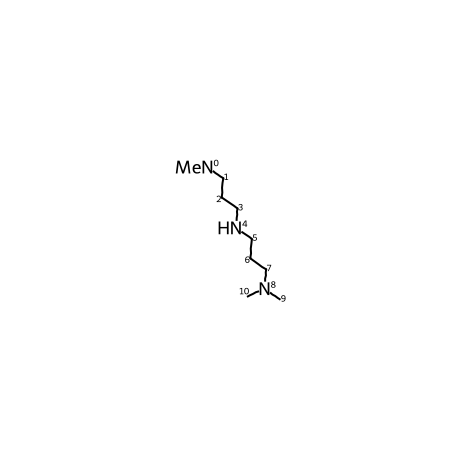 CNCCCNCCCN(C)C